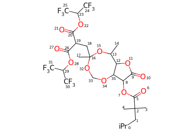 CC(C)CC(C)(C)C(=O)OC1C(=O)OC2C(C)OC(C)(CC(C(=O)OC(C(F)(F)F)C(F)(F)F)C(=O)OC(C(F)(F)F)C(F)(F)F)OCOC12